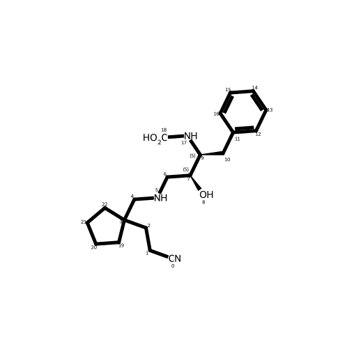 N#CCCC1(CNC[C@H](O)[C@H](Cc2ccccc2)NC(=O)O)CCCC1